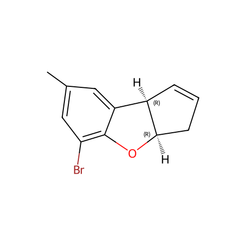 Cc1cc(Br)c2c(c1)[C@H]1C=CC[C@H]1O2